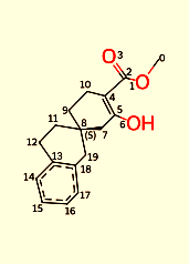 COC(=O)C1=C(O)C[C@]2(CC1)CCc1ccccc1C2